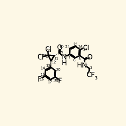 O=C(NCC(F)(F)F)c1cc(NC(=O)[C@@H]2[C@@H](c3cc(F)cc(F)c3)C2(Cl)Cl)ccc1Cl